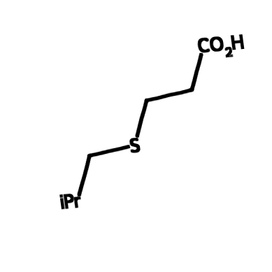 CC(C)CSCCC(=O)O